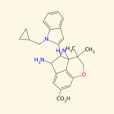 CC1(C)COc2cc(C(=O)O)cc3c2C1(N)C(c1cc2ccccc2n1CC1CC1)C3N